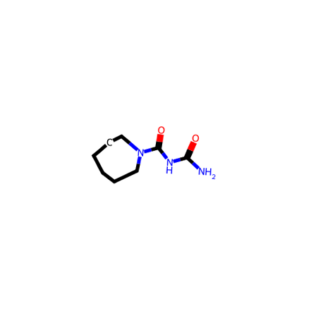 NC(=O)NC(=O)N1CCCCCC1